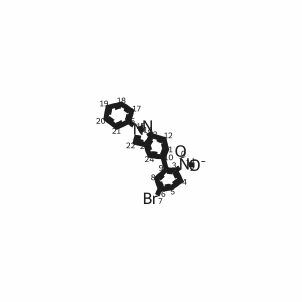 O=[N+]([O-])c1ccc(Br)cc1-c1ccc2nn(-c3ccccc3)cc2c1